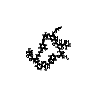 C#CCOCc1cc(NC(=O)[C@H](CCCNC(N)=O)NC(=O)[C@@H](N)C(C)C)ccc1C[N+](C)(C)CC#Cc1ccc(OCCCc2sc(N3CCCc4c3nnc(Nc3nc5ccccc5s3)c4C)nc2C(=O)OC(=O)C(F)(F)F)c(F)c1